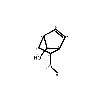 COC1CC2C=CC1C2O